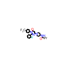 CC(C)C(=O)NC1CCN(c2cc(=O)n(-c3ccc(C(F)(F)F)cc3)c(-c3ccccc3F)n2)CC1